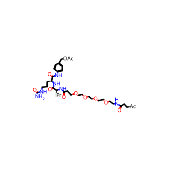 CC(=O)CCC(=O)NCCOCCOCCOCCOCCC(=O)N[C@H](C(=O)N[C@@H](CCCNC(N)=O)C(=O)Nc1ccc(COC(C)=O)cc1)C(C)C